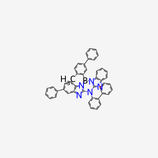 Cc1ccc(-c2ccccc2)cc1B1n2c(nc3ccccc32)N(c2ccccc2-c2ccccc2)c2nc3cc(-c4ccccc4)ccc3n21